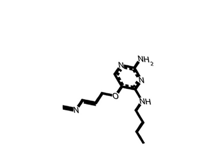 C=N/C=C/COc1cnc(N)nc1NCCCC